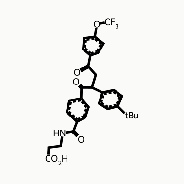 CC(C)(C)c1ccc(C(CC(=O)c2ccc(OC(F)(F)F)cc2)C(=O)c2ccc(C(=O)NCCC(=O)O)cc2)cc1